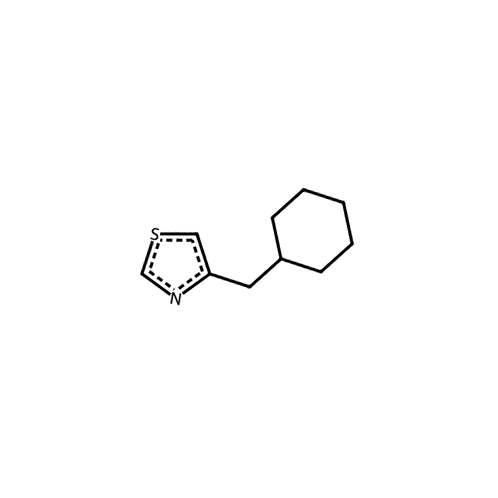 c1nc(CC2CCCCC2)cs1